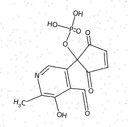 Cc1ncc(C2(OP(=O)(O)O)C(=O)C=CC2=O)c(C=O)c1O